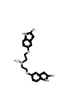 CC(=O)c1cc2cc(OCCN(C)CCOc3ccc4[nH]c(C(C)=O)cc4c3)ccc2[nH]1